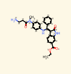 CCOC(=O)c1ccc2c(c1)NC(=O)/C2=C(/Nc1ccc(N(C)C(=O)CCN)cc1)c1ccccc1